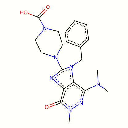 CN(C)c1nn(C)c(=O)c2nc(N3CCN(C(=O)O)CC3)n(Cc3ccccc3)c12